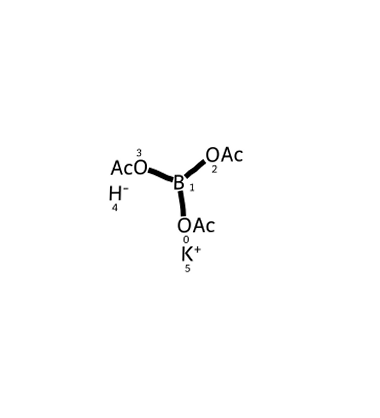 CC(=O)OB(OC(C)=O)OC(C)=O.[H-].[K+]